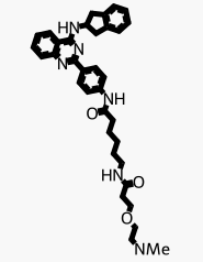 CNCCOCCC(=O)NCCCCCC(=O)Nc1ccc(-c2nc(NC3Cc4ccccc4C3)c3ccccc3n2)cc1